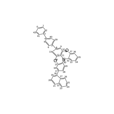 c1ccc(-c2ccc(-c3cc4c5c(c3)Oc3cc(-c6cccc7ccccc67)ccc3N5c3ccccc3O4)cc2)cc1